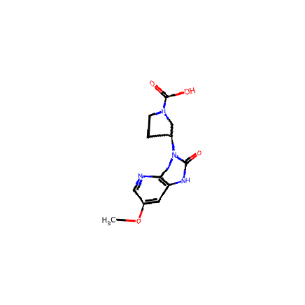 COc1cnc2c(c1)[nH]c(=O)n2[C@H]1CCN(C(=O)O)C1